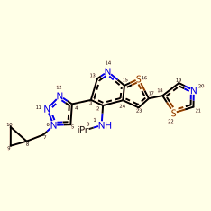 CC(C)Nc1c(-c2cn(CC3CC3)nn2)cnc2sc(-c3cncs3)cc12